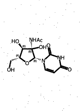 CC(=O)N[C@@]1(O)[C@H](O)[C@@H](CO)O[C@H]1n1ccc(=O)[nH]c1=O